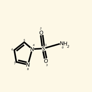 NS(=O)(=O)n1cc[c]n1